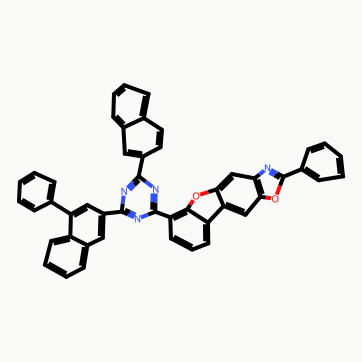 c1ccc(-c2nc3cc4oc5c(-c6nc(-c7ccc8ccccc8c7)nc(-c7cc(-c8ccccc8)c8ccccc8c7)n6)cccc5c4cc3o2)cc1